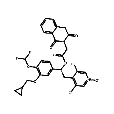 O=C(CN1C(=O)Cc2ccccc2C1=O)O[C@@H](Cc1c(Cl)c[n+]([O-])cc1Cl)c1ccc(OC(F)F)c(OCC2CC2)c1